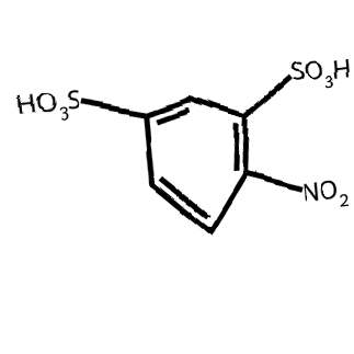 O=[N+]([O-])c1ccc(S(=O)(=O)O)cc1S(=O)(=O)O